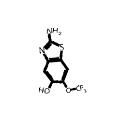 Nc1nc2cc(O)c(OC(F)(F)F)cc2s1